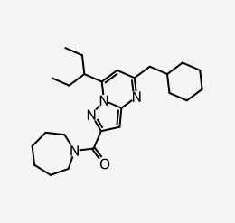 CCC(CC)c1cc(CC2CCCCC2)nc2cc(C(=O)N3CCCCCC3)nn12